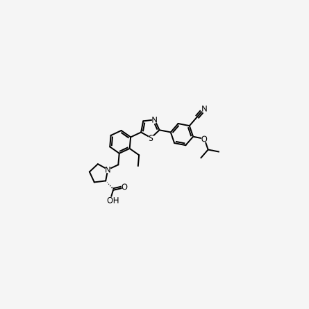 CCc1c(CN2CCC[C@H]2C(=O)O)cccc1-c1cnc(-c2ccc(OC(C)C)c(C#N)c2)s1